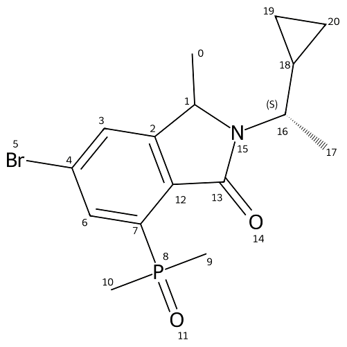 CC1c2cc(Br)cc(P(C)(C)=O)c2C(=O)N1[C@@H](C)C1CC1